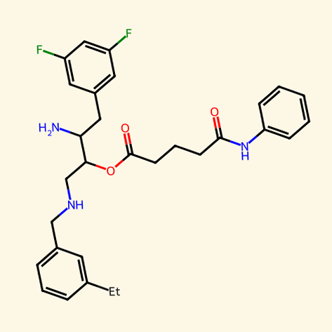 CCc1cccc(CNCC(OC(=O)CCCC(=O)Nc2ccccc2)C(N)Cc2cc(F)cc(F)c2)c1